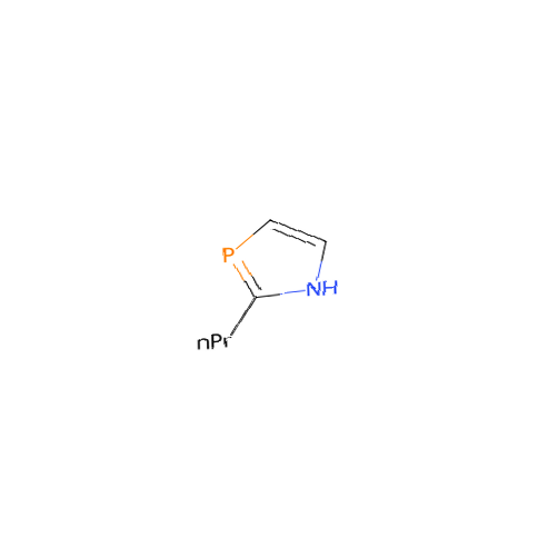 CCCc1[nH]ccp1